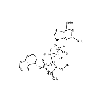 CNc1nc(N)nc2c1ncn2[C@@H]1O[C@@H]2C(O[P@](=O)(N[C@H](C)C(=O)OC(C)C)Oc3cccc4ccccc34)[C@]2(O)[C@@]1(C)F